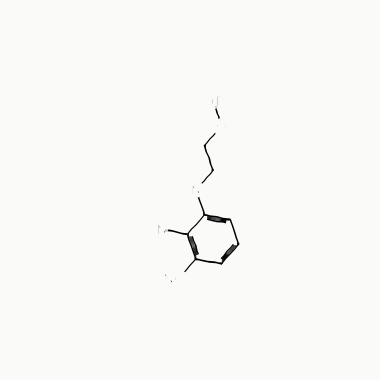 CC(C)(C)OCCNc1cccc(C#N)c1N